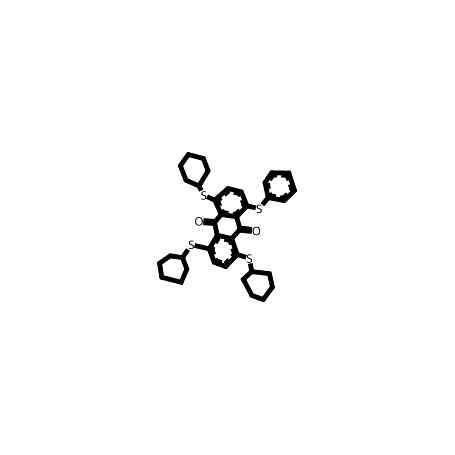 O=C1c2c(Sc3ccccc3)ccc(SC3CCCCC3)c2C(=O)c2c(SC3CCCCC3)ccc(SC3CCCCC3)c21